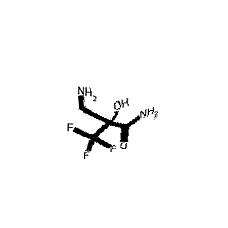 NC[C@](O)(C(N)=O)C(F)(F)F